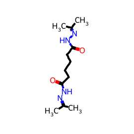 CC(C)=NNC(=O)CCCCC(=O)NN=C(C)C